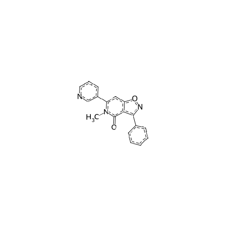 Cn1c(-c2cccnc2)cc2onc(-c3ccccc3)c2c1=O